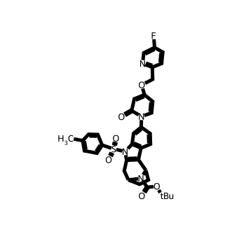 Cc1ccc(S(=O)(=O)n2c3c(c4ccc(-n5ccc(OCc6ccc(F)cn6)cc5=O)cc42)C2CCC(C3)N2C(=O)OC(C)(C)C)cc1